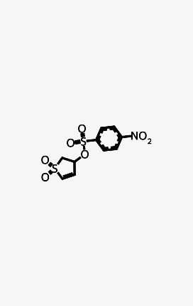 O=[N+]([O-])c1ccc(S(=O)(=O)OC2C=CS(=O)(=O)C2)cc1